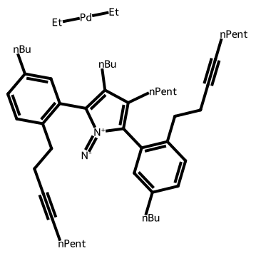 CCCCCC#CCCc1ccc(CCCC)cc1C1=C(CCCC)C(CCCCC)=C(c2cc(CCCC)ccc2CCC#CCCCCC)[N+]1=[N-].C[CH2][Pd][CH2]C